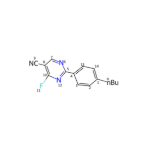 CCCCc1ccc(-c2ncc(C#N)c(F)n2)cc1